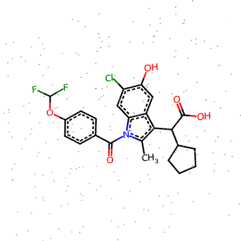 Cc1c(C(C(=O)O)C2CCCC2)c2cc(O)c(Cl)cc2n1C(=O)c1ccc(OC(F)F)cc1